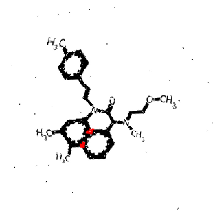 COCCN(C)C(C(=O)N(CCc1ccc(C)cc1)c1ccc(C)c(C)c1)c1ccccc1